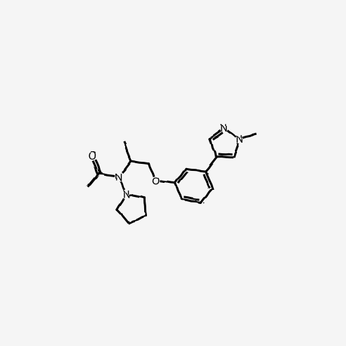 CC(=O)N(C(C)COc1c[c]cc(-c2cnn(C)c2)c1)N1CCCC1